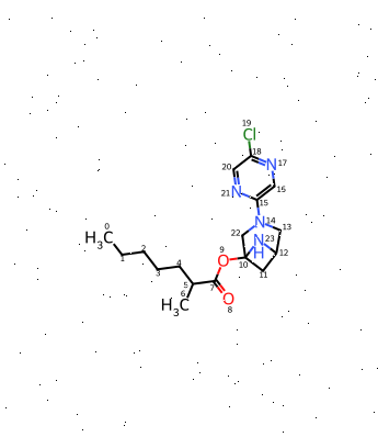 CCCCCC(C)C(=O)OC12CC(CN(c3cnc(Cl)cn3)C1)N2